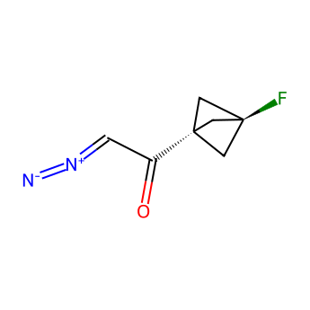 [N-]=[N+]=CC(=O)[C@]12C[C@@](F)(C1)C2